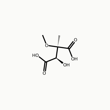 CO[C@@](C)(C(=O)O)[C@@H](O)C(=O)O